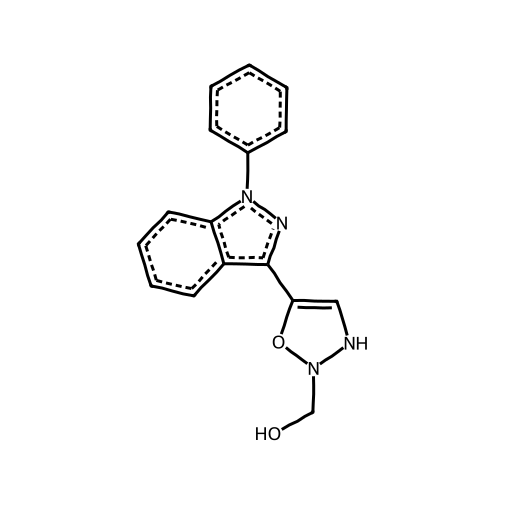 OCN1NC=C(c2nn(-c3ccccc3)c3ccccc23)O1